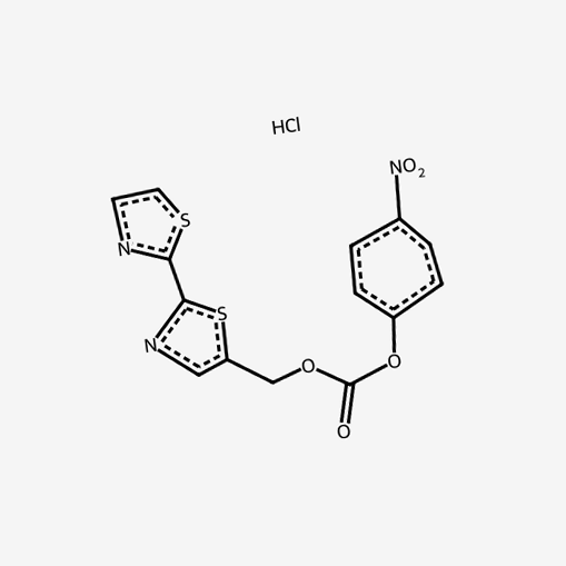 Cl.O=C(OCc1cnc(-c2nccs2)s1)Oc1ccc([N+](=O)[O-])cc1